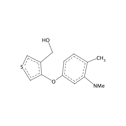 CNc1cc(Oc2cscc2CO)ccc1C